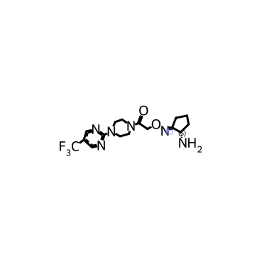 N[C@H]1CCC/C1=N\OCC(=O)N1CCN(c2ncc(C(F)(F)F)cn2)CC1